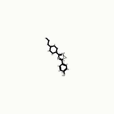 CCCC1CCC(c2noc(-c3ccc(F)cc3)n2)CC1